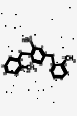 CCCCc1cc(Cc2ccccc2C)ccc1Cc1ccccc1C